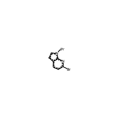 CC(C)n1ccc2ccc(Br)nc21